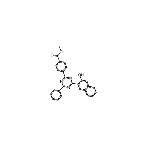 COC(=O)c1ccc(-c2nc(-c3ccccc3)nc(-c3cc4ccccc4cc3O)n2)cc1